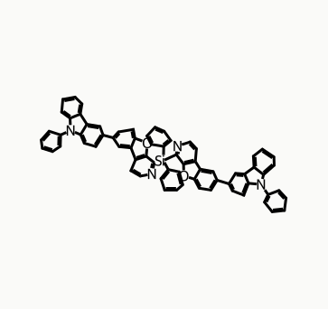 c1ccc(-n2c3ccccc3c3cc(-c4ccc5oc6c([Si](c7ccccc7)(c7ccccc7)c7nccc8c7oc7ccc(-c9ccc%10c(c9)c9ccccc9n%10-c9ccccc9)cc78)nccc6c5c4)ccc32)cc1